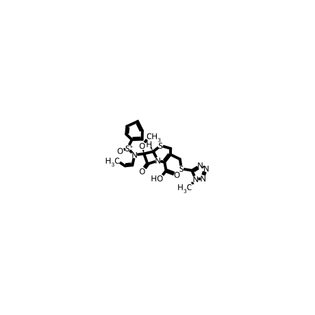 C/C=C\N([S+]([O-])c1ccccc1)[C@]1(OC)C(=O)N2C(C(=O)O)=C(CSc3nnnn3C)CS[C@@H]21